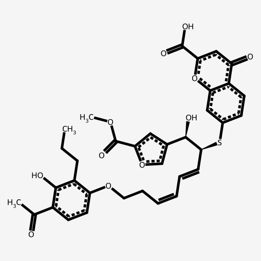 CCCc1c(OCC/C=C\C=C\[C@H](Sc2ccc3c(=O)cc(C(=O)O)oc3c2)[C@H](O)c2coc(C(=O)OC)c2)ccc(C(C)=O)c1O